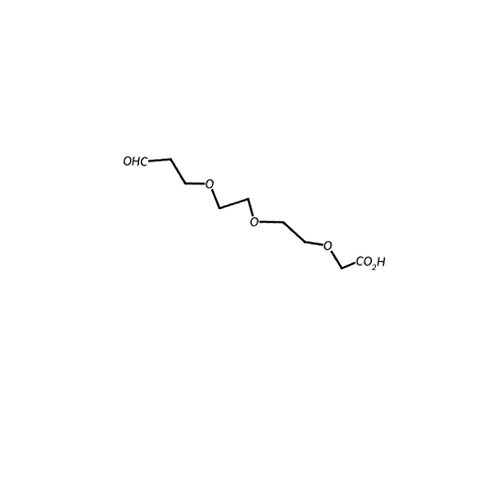 O=CCCOCCOCCOCC(=O)O